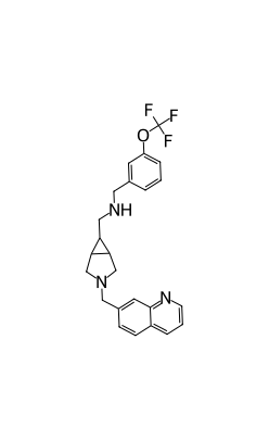 FC(F)(F)Oc1cccc(CNCC2C3CN(Cc4ccc5cccnc5c4)CC23)c1